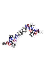 CC(C)(C)OC(=O)N[C@@H](C(=O)N1CCC[C@H]1c1nc(-c2ccc(-c3ccc(-c4noc([C@@H]5CCCN5C(=O)[C@H](NC(=O)OC(C)(C)C)c5ccccc5)n4)cc3)cc2)c[nH]1)c1ccccc1